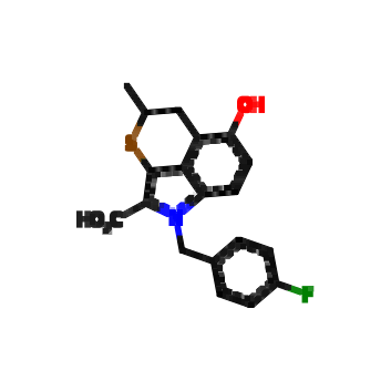 CC1Cc2c(O)ccc3c2c(c(C(=O)O)n3Cc2ccc(F)cc2)S1